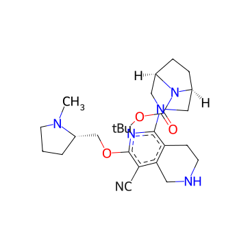 CN1CCC[C@H]1COc1nc(N2C[C@H]3CC[C@@H](C2)N3C(=O)OC(C)(C)C)c2c(c1C#N)CNCC2